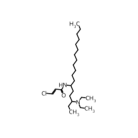 CCCCCCCCCCCCC(CCC(CC)N(CC)CC)NC(=O)C=CCl